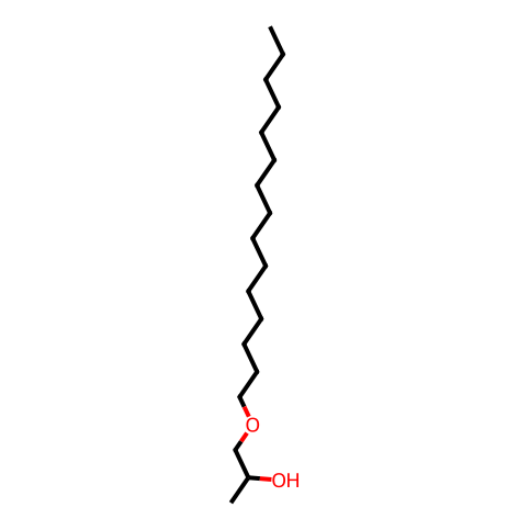 CCCCCCCCCCCCCCCOCC(C)O